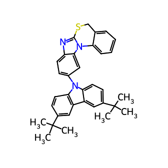 CC(C)(C)c1ccc2c(c1)c1cc(C(C)(C)C)ccc1n2-c1ccc2nc3n(c2c1)-c1ccccc1CS3